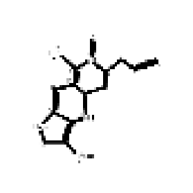 C=CCC1CC2NC3=C(CCCCC)CNC3=CC2=C(N)[N+]1=O